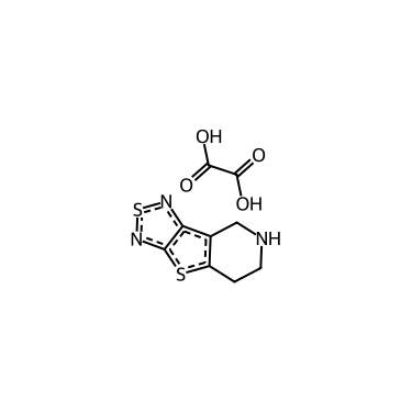 C1Cc2sc3nsnc3c2CN1.O=C(O)C(=O)O